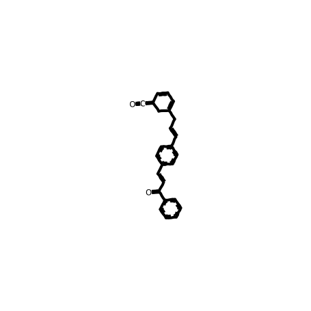 O=C=C1C=CC=C(CC=Cc2ccc(/C=C/C(=O)c3ccccc3)cc2)C1